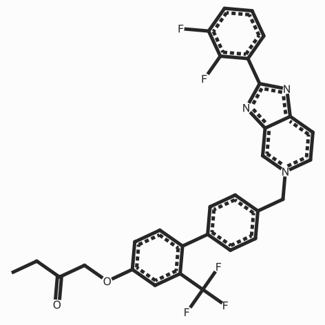 CCC(=O)COc1ccc(-c2ccc(Cn3ccc4nc(-c5cccc(F)c5F)nc-4c3)cc2)c(C(F)(F)F)c1